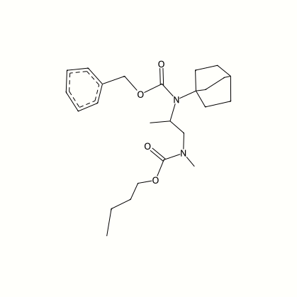 CCCCOC(=O)N(C)CC(C)N(C(=O)OCc1ccccc1)C12CCC(CC1)CC2